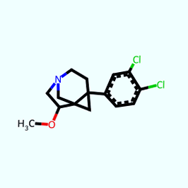 COC1CN2CCC3(c4ccc(Cl)c(Cl)c4)CC13C2